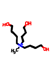 C[N+](CCCCO)(CCCCO)CCCCO